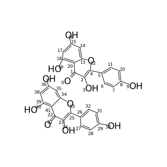 O=c1c(O)c(-c2ccc(O)cc2)oc2cc(O)cc(O)c12.O=c1c(O)c(-c2ccc(O)cc2)oc2cc(O)cc(O)c12